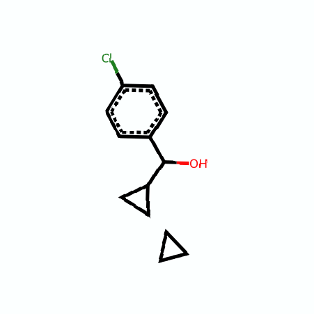 C1CC1.OC(c1ccc(Cl)cc1)C1CC1